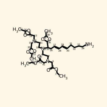 CCOC(=O)CN(CCN(CCN(CC1OC(C)O1)CC1OC(C)O1)C(CC=CC=CCCCCN)C1OC(C)O1)CC(=O)OCC